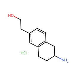 Cl.NC1CCc2cc(CCO)ccc2C1